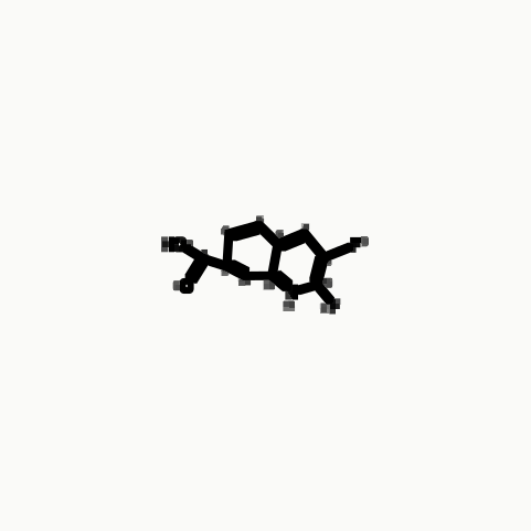 O=C(O)c1ccc2cc(F)c(F)nc2c1